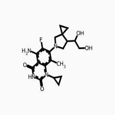 Cc1c(N2CC(C(O)CO)C3(CC3)C2)c(F)c(N)c2c(=O)[nH]c(=O)n(C3CC3)c12